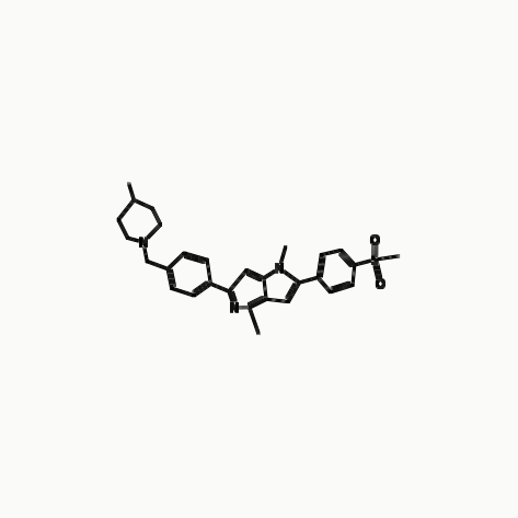 Cc1nc(-c2ccc(CN3CCC(C)CC3)cc2)cc2c1cc(-c1ccc(S(C)(=O)=O)cc1)n2C